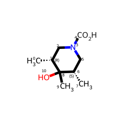 C[C@@H]1CN(C(=O)O)C[C@H](C)C1(C)O